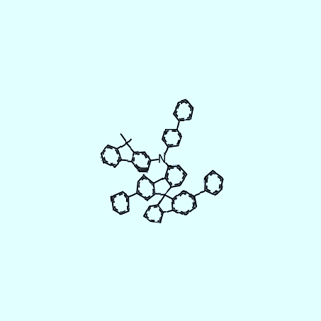 CC1(C)c2cc(N(c3ccc(-c4ccccc4)cc3)c3cccc4c3-c3ccc(-c5ccccc5)cc3C43c4ccccc4-c4ccc(-c5ccccc5)cc43)c#cc2-c2ccccc21